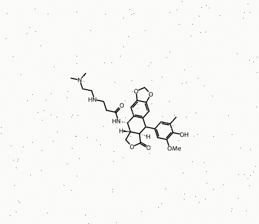 COc1cc(C2c3cc4c(cc3[C@@H](NC(=O)CCNCCN(C)C)[C@H]3COC(=O)[C@H]23)OCO4)cc(C)c1O